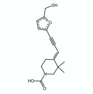 CC1(C)CN(C(=O)O)CC/C1=C\C#Cc1ccc(CO)o1